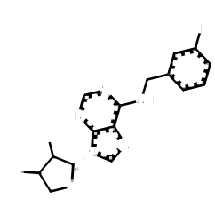 OC1CS[C@@H](n2cnc3c(NCc4cccc(I)c4)ncnc32)C1O